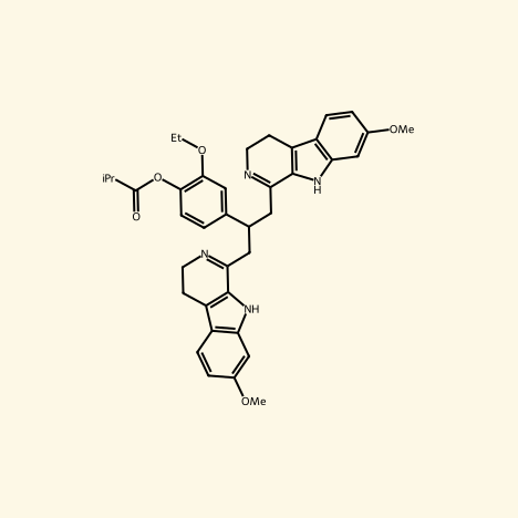 CCOc1cc(C(CC2=NCCc3c2[nH]c2cc(OC)ccc32)CC2=NCCc3c2[nH]c2cc(OC)ccc32)ccc1OC(=O)C(C)C